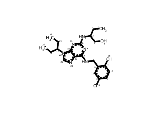 CCC(CO)Nc1nc(NCc2cc(Cl)ccc2O)c2ncn(C(CC)CC)c2n1